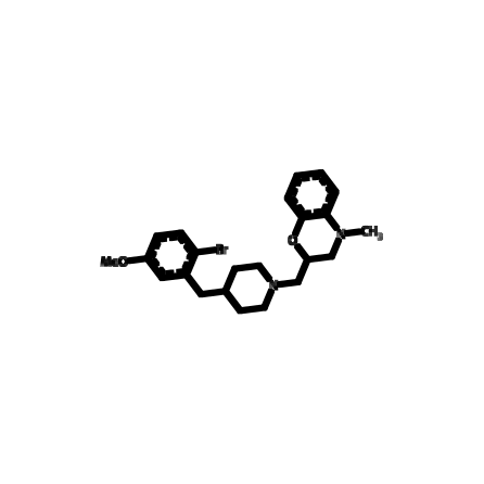 COc1ccc(Br)c(CC2CCN(CC3CN(C)c4ccccc4O3)CC2)c1